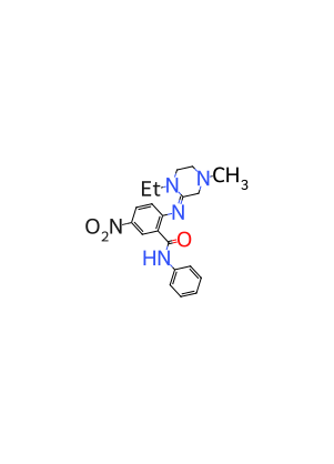 CCN1CCN(C)CC1=Nc1ccc([N+](=O)[O-])cc1C(=O)Nc1ccccc1